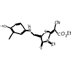 CCOC(=O)C(C#N)=c1sc(=CNc2ccc(O)c(C)c2)c(=O)n1CC